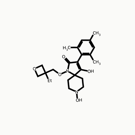 CCC1(CON2C(=O)C(c3c(C)cc(C)cc3C)=C(O)C23CCN(O)CC3)COC1